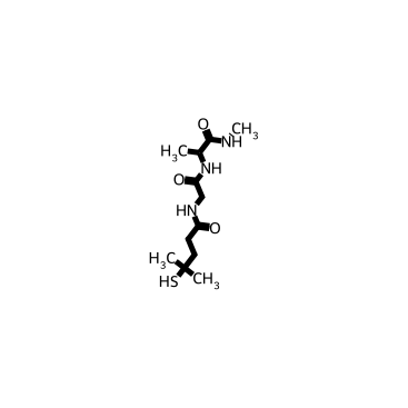 CNC(=O)C(C)NC(=O)CNC(=O)CCC(C)(C)S